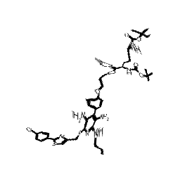 CCCNc1nc(SCc2csc(-c3ccc(Cl)cc3)n2)c(N)c(-c2ccc(OCCOC(=O)[C@@H](CCCNC(=O)OC(C)(C)C)NC(=O)OC(C)(C)C)cc2)c1N